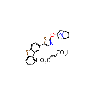 CN1C2CCC1CC(Oc1ncc(-c3ccc4sc5ccccc5c4c3)s1)C2.O=C(O)/C=C/C(=O)O